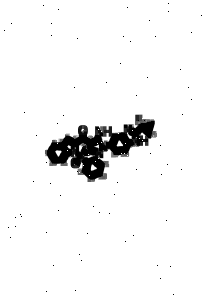 Nc1c(C(=O)c2cc3ccccc3n2S(=O)(=O)c2ccccc2)cnn1-c1ccc2[nH]c(C3(F)CC3)nc2c1